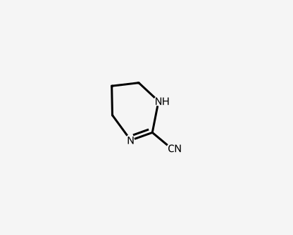 N#CC1=NCCCN1